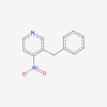 O=[N+]([O-])c1ccncc1Cc1ccccc1